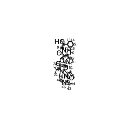 CO[C@H]([C@@H](C)C(=O)N[C@H](C)[C@@H](O)c1ccccc1)[C@@H]1CCCN1C(=O)C[C@@H](OC)[C@H](C(C)C)N(C)C(=O)[C@@H](NC(=O)[C@H](C(C)C)N(C)SC)C(C)C